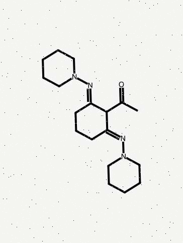 CC(=O)C1C(=NN2CCCCC2)CCCC1=NN1CCCCC1